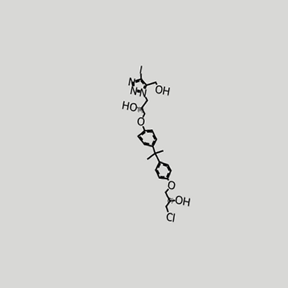 CC(C)(c1ccc(OC[C@@H](O)CCl)cc1)c1ccc(OC[C@H](O)Cn2nnc(I)c2CO)cc1